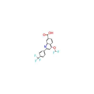 O=C(O)c1ccc2c(OC(F)F)cc(-c3ccc(C(F)(F)F)cc3)nc2c1